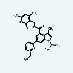 Cc1cc(C)c(CNC(=O)c2cc(-c3cccc(CN)n3)cc3c2c(C)cn3C(C)C)c(=O)[nH]1